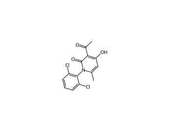 CC(=O)c1c(O)cc(C)n(-c2c(Cl)cccc2Cl)c1=O